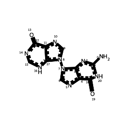 Nc1nc2c(ncn2-n2cnc3c(=O)nc[nH]c32)c(=O)[nH]1